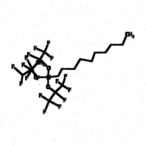 CCCCCCCCCC[Si](OC(C)(F)C(F)F)(OC(F)(C(F)(F)F)C(F)(F)F)OC(F)(C(F)(F)F)C(F)(F)F